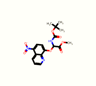 COC(=O)C(NC(=O)OC(C)(C)C)Oc1ccc([N+](=O)[O-])c2cccnc12